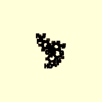 C[C@]1(CO)CCC[C@@]2(S(=O)(=O)c3ccc(C(F)(F)F)cc3)c3c(F)ccc(F)c3OC[C@@H]12